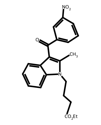 CCOC(=O)CCCn1c(C)c(C(=O)c2cccc([N+](=O)[O-])c2)c2ccccc21